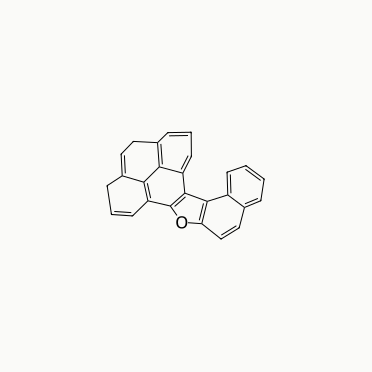 C1=Cc2c3c4c(cccc4c4c2oc2ccc5ccccc5c24)CC=C3C1